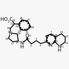 O=C(CCCc1ccc2c(n1)NCCC2)N[C@@H]1CCN(CC(C(=O)O)c2ccccc2)C1